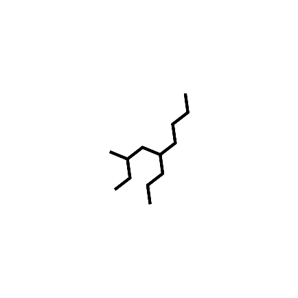 CCCCC(CCC)CC(C)CC